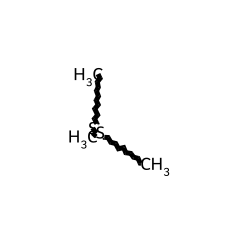 CCCCCCCCCCCCS[C](C)SCCCCCCCCCCCC